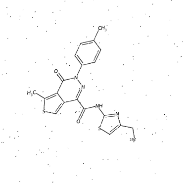 Cc1ccc(-n2nc(C(=O)Nc3nc(C[18F])cs3)c3csc(C)c3c2=O)cc1